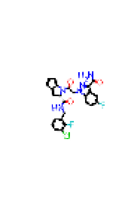 NC(=O)c1nn(CC(=O)N2C3=CC=CC3=C[C@H]2C(=O)NCc2cccc(Cl)c2F)c2ccc(F)cc12